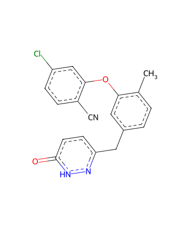 Cc1ccc(Cc2ccc(=O)[nH]n2)cc1Oc1cc(Cl)ccc1C#N